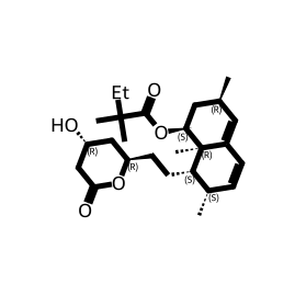 CCC(C)(C)C(=O)O[C@H]1C[C@@H](C)C=C2C=C[C@H](C)[C@H](CC[C@@H]3C[C@@H](O)CC(=O)O3)[C@]21C